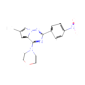 Cc1cc2c(N3CCOCC3)nc(-c3ccc([N+](=O)[O-])cc3)nn2c1